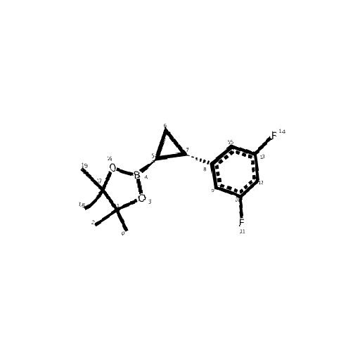 CC1(C)OB([C@H]2C[C@@H]2c2cc(F)cc(F)c2)OC1(C)C